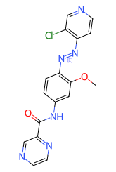 COc1cc(NC(=O)c2cnccn2)ccc1/N=N/c1ccncc1Cl